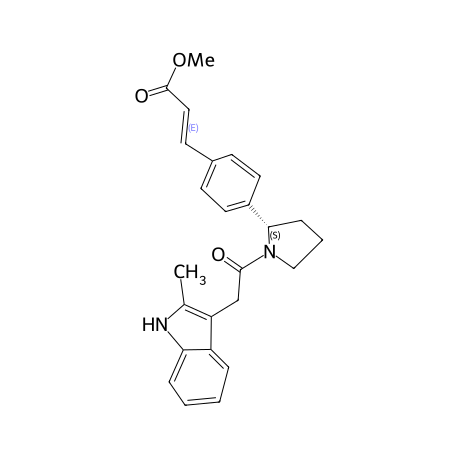 COC(=O)/C=C/c1ccc([C@@H]2CCCN2C(=O)Cc2c(C)[nH]c3ccccc23)cc1